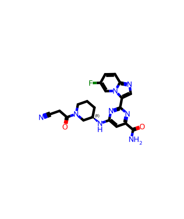 N#CCC(=O)N1CCC[C@@H](Nc2cc(C(N)=O)nc(-c3cnc4ccc(F)cn34)n2)C1